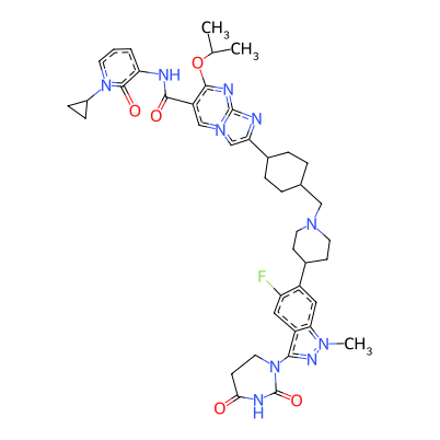 CC(C)Oc1nc2nc(C3CCC(CN4CCC(c5cc6c(cc5F)c(N5CCC(=O)NC5=O)nn6C)CC4)CC3)cn2cc1C(=O)Nc1cccn(C2CC2)c1=O